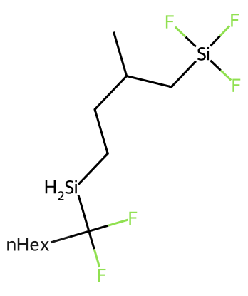 CCCCCCC(F)(F)[SiH2]CCC(C)C[Si](F)(F)F